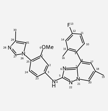 COc1cc(Nc2nc3c(-c4ccc(F)cc4C)cc(C)cn3n2)ccc1-n1cnc(C)c1